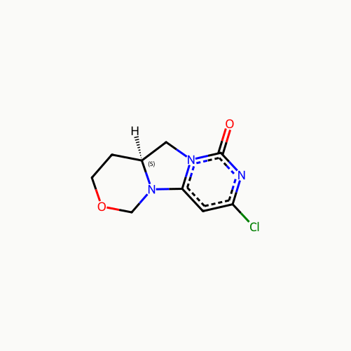 O=c1nc(Cl)cc2n1C[C@@H]1CCOCN21